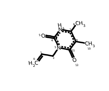 C=CCn1c(=O)[nH]c(C)c(C)c1=O